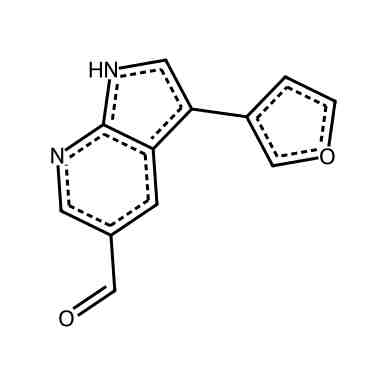 O=Cc1cnc2[nH]cc(-c3ccoc3)c2c1